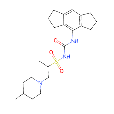 CC1CCN(CC(C)S(=O)(=O)NC(=O)Nc2c3c(cc4c2CCC4)CCC3)CC1